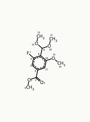 COC(=O)c1cc(F)c(C(OC)OC)c(OC)c1